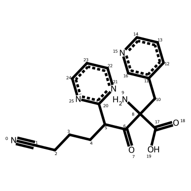 N#CCCCC(C(=O)C(N)(Cc1cccnc1)C(=O)O)c1ncccn1